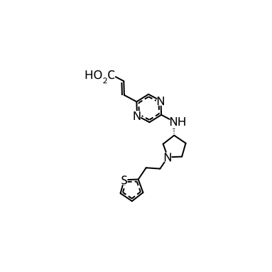 O=C(O)/C=C/c1cnc(N[C@@H]2CCN(CCc3cccs3)C2)cn1